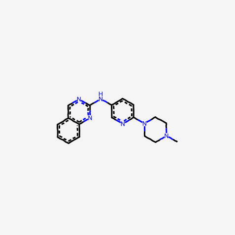 CN1CCN(c2ccc(Nc3ncc4ccccc4n3)cn2)CC1